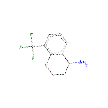 NC1CCSc2c1cccc2C(F)(F)F